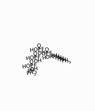 O=P(O)(O)F.O=P(O)(O)F.O=P(O)(O)F.O=P(O)(O)F.P.P.P.P.P.P.P.P